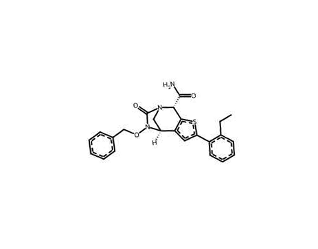 CCc1ccccc1-c1cc2c(s1)[C@@H](C(N)=O)N1C[C@@H]2N(OCc2ccccc2)C1=O